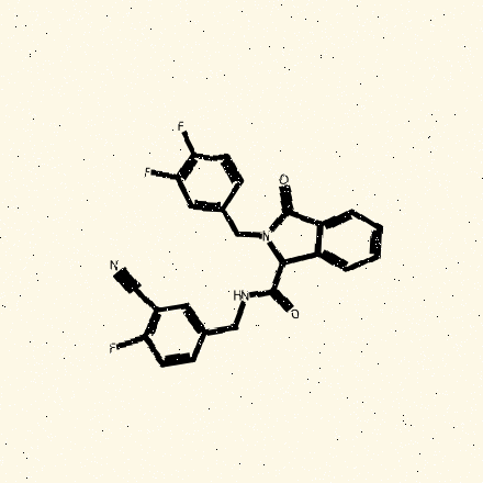 N#Cc1cc(CNC(=O)C2c3ccccc3C(=O)N2Cc2ccc(F)c(F)c2)ccc1F